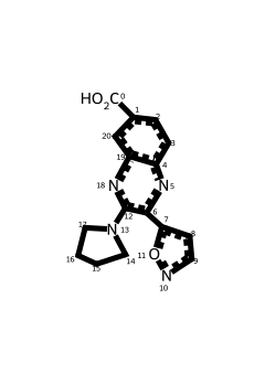 O=C(O)c1ccc2nc(-c3ccno3)c(N3CCCC3)nc2c1